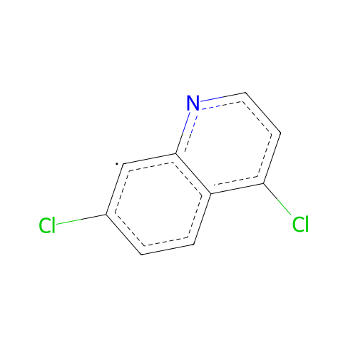 Clc1[c]c2nccc(Cl)c2cc1